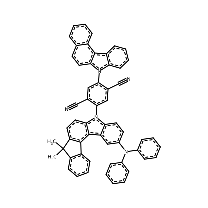 CC1(C)c2ccccc2-c2c1ccc1c2c2cc(N(c3ccccc3)c3ccccc3)ccc2n1-c1cc(C#N)c(-n2c3ccccc3c3c4ccccc4ccc32)cc1C#N